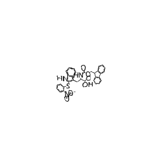 O=C(NC(Cc1c(Sc2ccccc2[N+](=O)[O-])[nH]c2ccccc12)C(=O)O)OCC1c2ccccc2-c2ccccc21